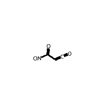 O=C=CC(=O)N=O